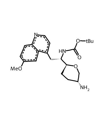 COc1ccc2nccc(C[C@H](NC(=O)OC(C)(C)C)[C@@H]3CC[C@@H](N)CO3)c2c1